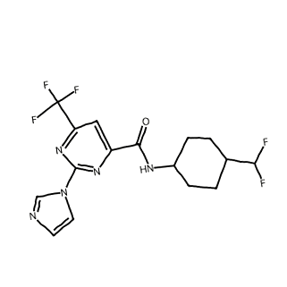 O=C(NC1CCC(C(F)F)CC1)c1cc(C(F)(F)F)nc(-n2ccnc2)n1